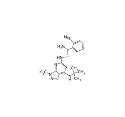 Cn1ncc2c(NC(C)(C)C)nc(NCC(N)c3ccccc3C#N)nc21